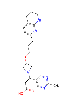 Cc1ncc([C@@H](CC(=O)O)N2CC(OCCCc3ccc4c(n3)NCCC4)C2)cn1